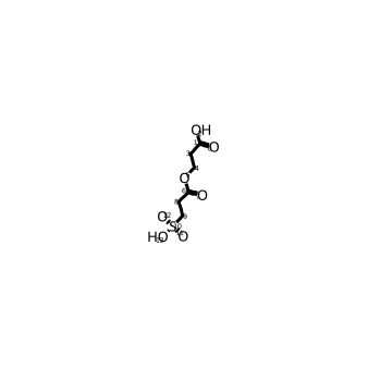 O=C(O)CCOC(=O)CCS(=O)(=O)O